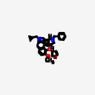 COc1ccc2c(c1Oc1ccsc1)C13CCN(CC4CC4)C(C2)C12CC[C@H]1C3[C@@H](CN1Cc1ccccc1)C2